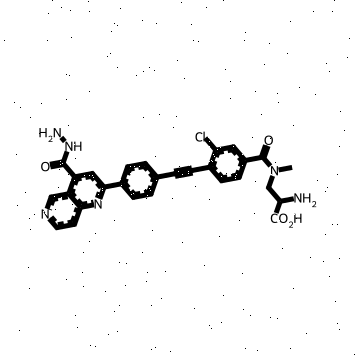 CN(CC(N)C(=O)O)C(=O)c1ccc(C#Cc2ccc(-c3cc(C(=O)NN)c4cnccc4n3)cc2)c(Cl)c1